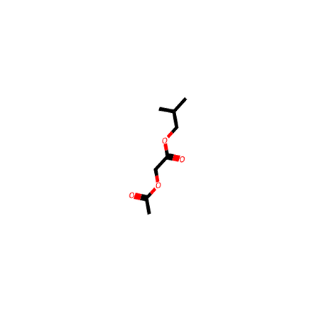 CC(=O)OCC(=O)OCC(C)C